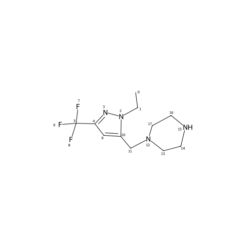 CCn1nc(C(F)(F)F)cc1CN1CCNCC1